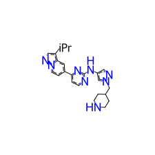 CC(C)c1cnn2ccc(-c3ccnc(Nc4cnn(CC5CCNCC5)c4)n3)cc12